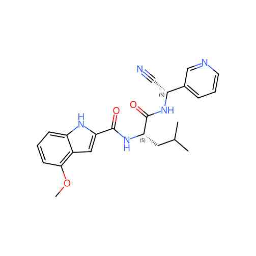 COc1cccc2[nH]c(C(=O)N[C@@H](CC(C)C)C(=O)N[C@H](C#N)c3cccnc3)cc12